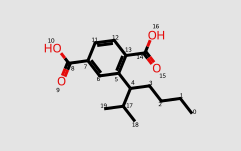 CCCCC(c1cc(C(=O)O)ccc1C(=O)O)C(C)C